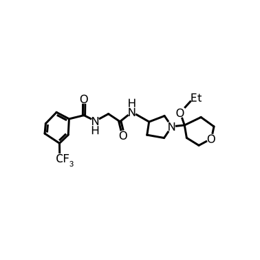 CCOC1(N2CCC(NC(=O)CNC(=O)c3cccc(C(F)(F)F)c3)C2)CCOCC1